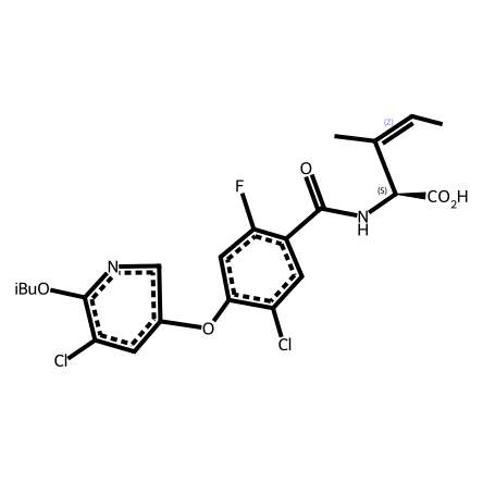 C/C=C(/C)[C@H](NC(=O)c1cc(Cl)c(Oc2cnc(OCC(C)C)c(Cl)c2)cc1F)C(=O)O